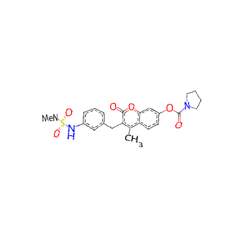 CNS(=O)(=O)Nc1cccc(Cc2c(C)c3ccc(OC(=O)N4CCCC4)cc3oc2=O)c1